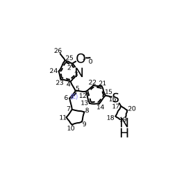 COc1nc(/C(=C/C2CCCC2)c2ccc(SC3CNC3)cc2)ccc1C